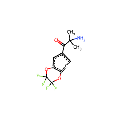 CC(C)(N)C(=O)c1ccc2c(c1)OC(F)(F)C(F)(F)O2